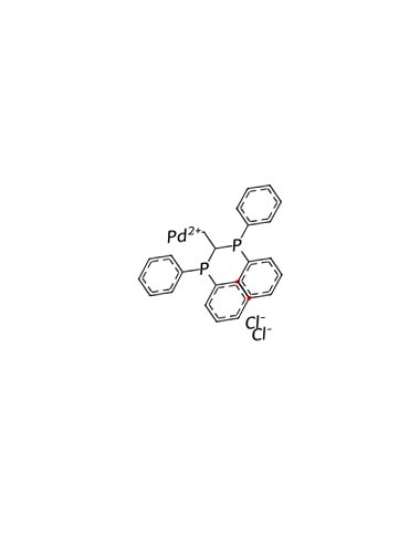 [Cl-].[Cl-].[Pd+2][CH2]C(P(c1ccccc1)c1ccccc1)P(c1ccccc1)c1ccccc1